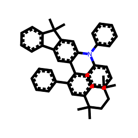 CC1(C)CCC(C)(C)c2cc(-c3cc4c(cc3N(c3ccccc3)c3ccccc3)C(C)(C)c3ccccc3-4)c(-c3ccccc3)cc21